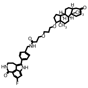 C[C@]12CCC(=O)C[C@@H]1CC[C@@H]1[C@@H]2CC[C@]2(C)[C@@H](OCCCOCCC(=O)NCc3ccc(-c4[nH]c5cc(F)cc6c5c4CCNC6=O)cc3)CC[C@@H]12